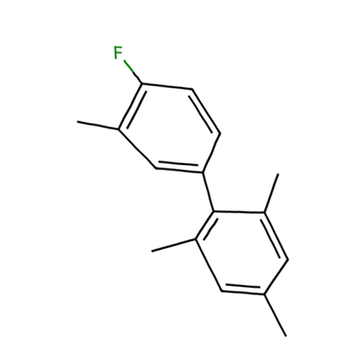 Cc1cc(C)c(-c2ccc(F)c(C)c2)c(C)c1